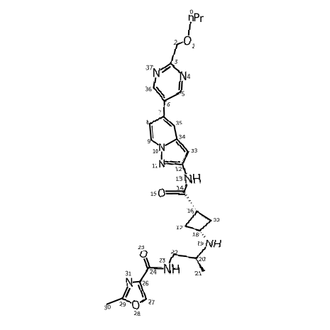 CCCOCc1ncc(-c2ccn3nc(NC(=O)[C@H]4C[C@@H](N[C@@H](C)CNC(=O)c5coc(C)n5)C4)cc3c2)cn1